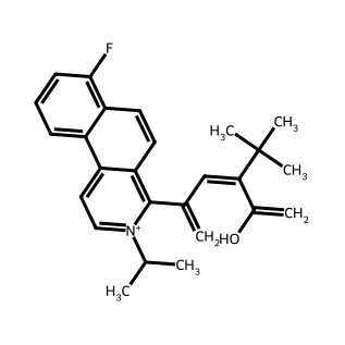 C=C(O)/C(=C\C(=C)c1c2ccc3c(F)cccc3c2cc[n+]1C(C)C)C(C)(C)C